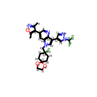 Cc1noc(C)c1-c1cnc2c(-c3cnn(C(F)F)c3)cn(CC3(F)CCC4(CC3)OCCO4)c2c1